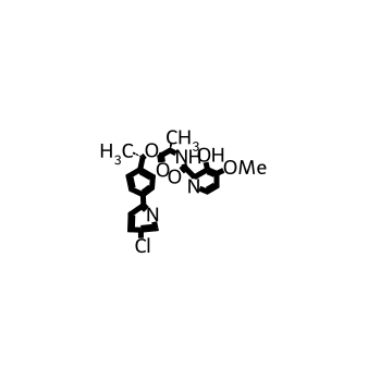 COc1ccnc(C(=O)N[C@@H](C)C(=O)O[C@@H](C)c2ccc(-c3ccc(Cl)cn3)cc2)c1O